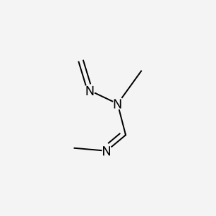 C=NN(C)/C=N\C